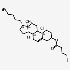 CC(C)CCCC[C@H]1CCC2[C@@H]3CC=C4CC(OC(=O)CCCI)CC[C@]4(C)C3CC[C@@]21C